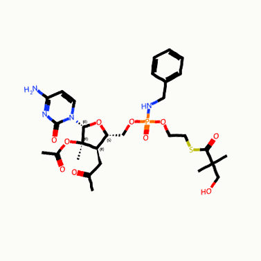 CC(=O)C[C@@H]1[C@@H](COP(=O)(NCc2ccccc2)OCCSC(=O)C(C)(C)CO)O[C@@H](n2ccc(N)nc2=O)[C@]1(C)OC(C)=O